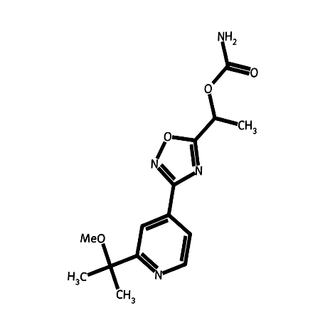 COC(C)(C)c1cc(-c2noc(C(C)OC(N)=O)n2)ccn1